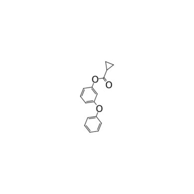 O=C(Oc1cccc(Oc2ccccc2)c1)C1CC1